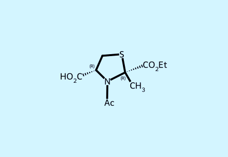 CCOC(=O)[C@@]1(C)SC[C@@H](C(=O)O)N1C(C)=O